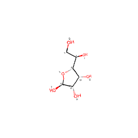 OC[C@@H](O)[C@H]1O[C@H](O)[C@@H](O)[C@H]1O